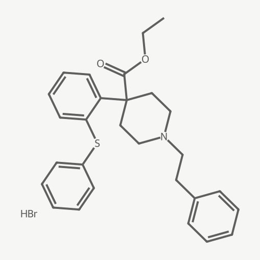 Br.CCOC(=O)C1(c2ccccc2Sc2ccccc2)CCN(CCc2ccccc2)CC1